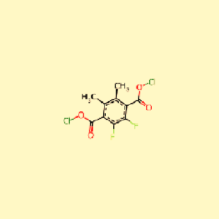 Cc1c(C)c(C(=O)OCl)c(F)c(F)c1C(=O)OCl